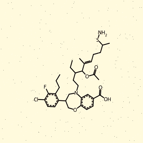 CCCc1c(C2COc3ccc(C(=O)O)cc3N(CCC(CC)C(OC(C)=O)/C(C)=C/CCC(C)SN)C2)ccc(Cl)c1F